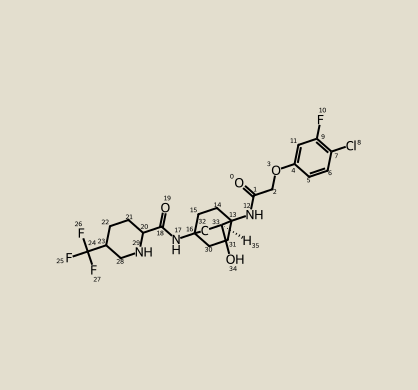 O=C(COc1ccc(Cl)c(F)c1)NC12CCC(NC(=O)C3CCC(C(F)(F)F)CN3)(CC1)C[C@@H]2O